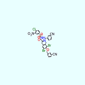 N#Cc1cccc(COc2c(Br)cc3c(c2Br)CN(Cc2cccc(C#N)c2)[C@H](C(=O)NS(=O)(=O)c2ccc(Cl)c([N+](=O)[O-])c2)C3)c1